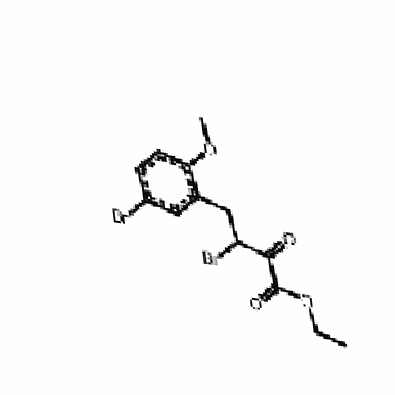 CCOC(=O)C(=O)C(Br)Cc1cc(Br)ccc1OC